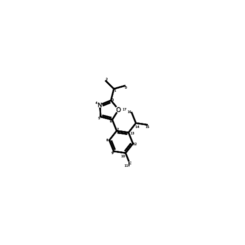 CC(C)c1ncc(-c2ccc(F)cc2C(C)C)o1